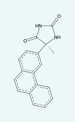 C[C@@]1(c2ccc3ccc4ccccc4c3c2)NC(=O)NC1=O